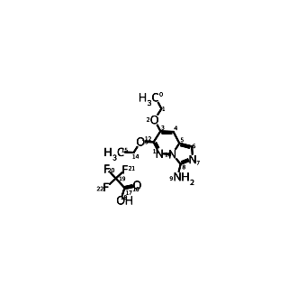 CCOc1cc2cnc(N)n2nc1OCC.O=C(O)C(F)(F)F